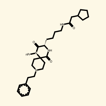 CCCN1C(=O)[C@H](CCCCNC(=O)CC2CCCC2)NC(=O)C12CCN(CCc1ccccc1)CC2